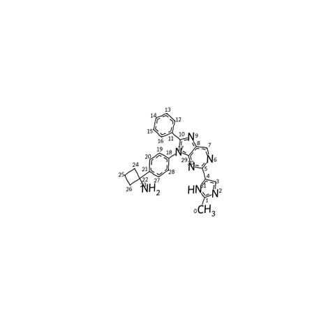 Cc1ncc(-c2ncc3nc(-c4ccccc4)n(-c4ccc(C5(N)CCC5)cc4)c3n2)[nH]1